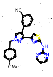 COc1ccc(Cn2cc(-c3cccc(C#N)c3)c(-c3csc(Nc4ncccn4)n3)n2)cc1